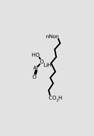 CCCCCCCCCCCCCCCCCC(=O)O.[LiH].[O]=[Al][O]O